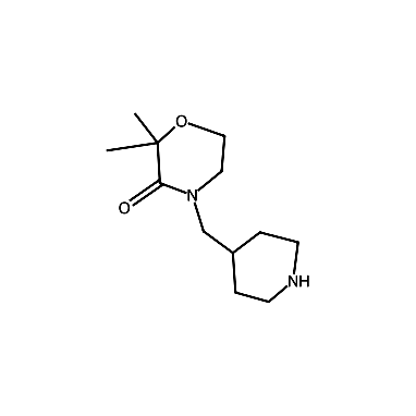 CC1(C)OCCN(CC2CCNCC2)C1=O